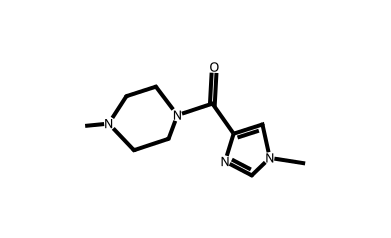 CN1CCN(C(=O)c2cn(C)cn2)CC1